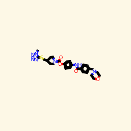 Cn1nnnc1SCC1CCN(C(=O)Oc2ccc(NC(=O)c3ccc(CN4CCOCC4)cc3)cc2)CC1